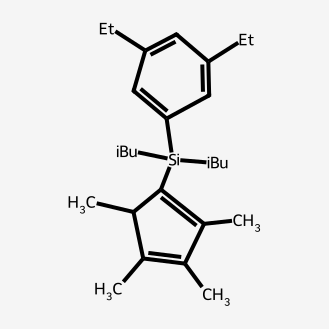 CCc1cc(CC)cc([Si](C2=C(C)C(C)=C(C)C2C)(C(C)CC)C(C)CC)c1